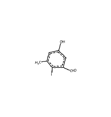 Cc1cc(O)cc(C=O)c1I